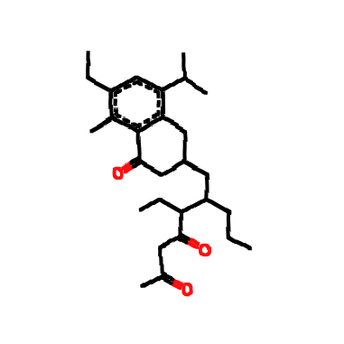 CCCC(CC1CC(=O)c2c(C)c(CC)cc(C(C)C)c2C1)C(CC)C(=O)CC(C)=O